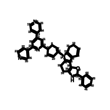 C1=Cc2c3c(n(C4=CCC(c5cc(-c6ccncc6)cc(-c6ccncc6)n5)C=C4)c2CC1)CCC1=C3OC(c2ccccc2)N1